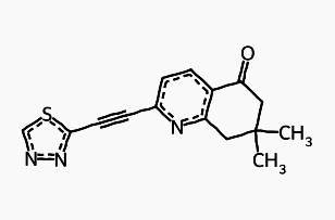 CC1(C)CC(=O)c2ccc(C#Cc3nncs3)nc2C1